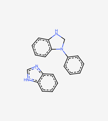 c1ccc(N2CNc3ccccc32)cc1.c1ccc2[nH]cnc2c1